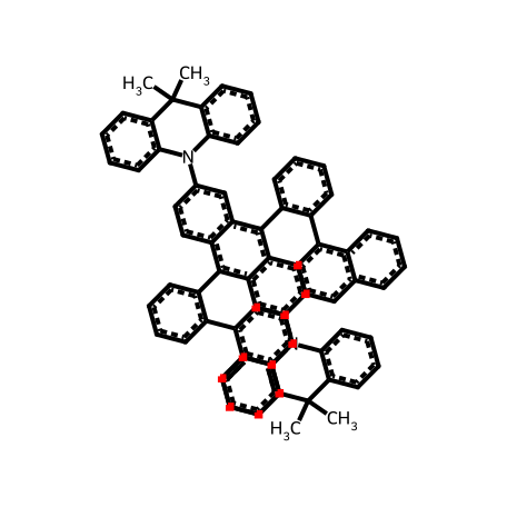 CC1(C)C2=C(C=CCC2)N(c2ccc3c(-c4ccccc4-c4cccc5ccccc45)c4cc(N5c6ccccc6C(C)(C)c6ccccc65)ccc4c(-c4ccccc4-c4cccc5ccccc45)c3c2)c2ccccc21